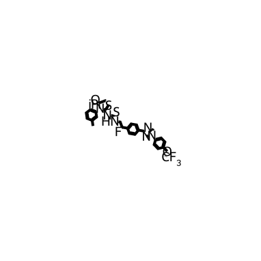 Cc1ccc(C(C)C)c(N2C(=O)CS/C2=N\C(=S)NCC(F)c2ccc(-c3ncn(-c4ccc(OC(F)(F)F)cc4)n3)cc2)c1